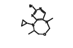 CC1COCN(C)c2cnc(Br)nc2N1C1CC1